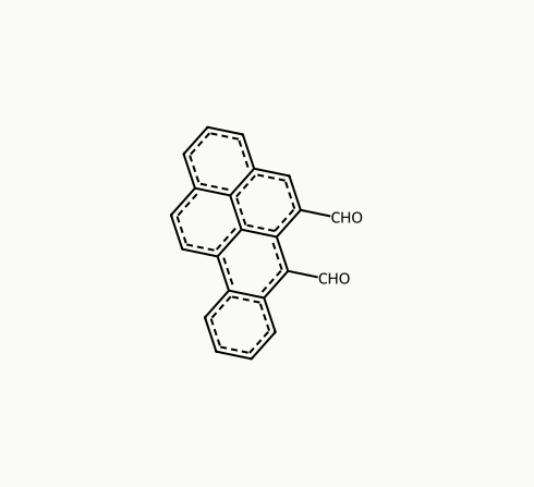 O=Cc1cc2cccc3ccc4c5ccccc5c(C=O)c1c4c32